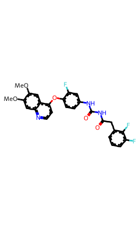 COc1cc2nccc(Oc3ccc(NC(=O)NC(=O)Cc4cccc(F)c4F)cc3F)c2cc1OC